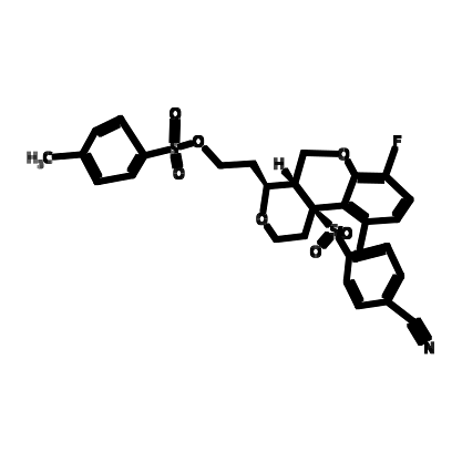 Cc1ccc(S(=O)(=O)OCC[C@@H]2OCC[C@@]3(S(=O)(=O)c4ccc(C#N)cc4)c4c(F)ccc(F)c4OC[C@@H]23)cc1